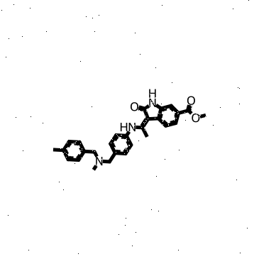 COC(=O)c1ccc2c(c1)NC(=O)/C2=C(/C)Nc1ccc(CN(C)Cc2ccc(C)cc2)cc1